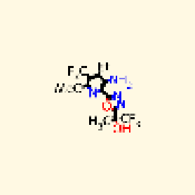 CCc1c(N)c(-c2nnc([C@](C)(O)C(F)(F)F)o2)nc(OC)c1C(F)(F)F